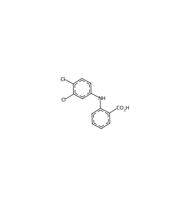 O=C(O)c1ccccc1Nc1ccc(Cl)c(Cl)c1